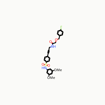 COc1cc(NS(=O)(=O)c2ccc(C#CCNC(=O)COCc3ccc(F)cc3)cc2)cc(OC)c1